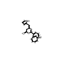 O=C1C/C(=C\c2ccc[nH]2)N=C(C2=CC=C[C@@H]3C=CC=CC2=C3)O1